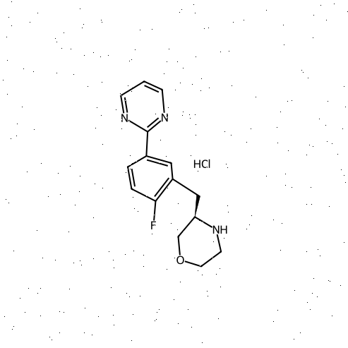 Cl.Fc1ccc(-c2ncccn2)cc1C[C@@H]1COCCN1